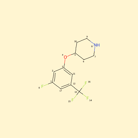 Fc1cc(OC2CCNCC2)cc(C(F)(F)F)c1